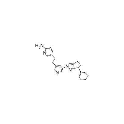 Nc1ncc(CCc2cncc(-n3cc4c(n3)[C@H](c3ccccc3)CC4)c2)cn1